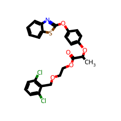 CC(Oc1ccc(Oc2nc3ccccc3s2)cc1)C(=O)OCCOCc1c(Cl)cccc1Cl